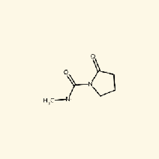 C[N]C(=O)N1CCCC1=O